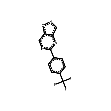 FC(F)(F)c1ccc(-c2ncc3oncc3n2)cc1